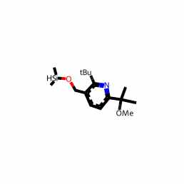 COC(C)(C)c1ccc(CO[SiH](C)C)c(C(C)(C)C)n1